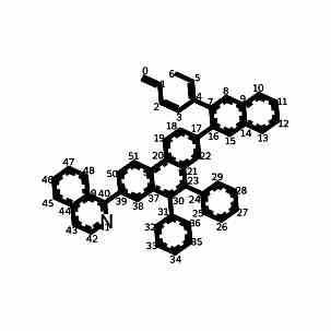 C=C/C=C\C(=C/C)c1cc2ccccc2cc1-c1ccc2c(c1)c(-c1ccccc1)c(-c1ccccc1)c1cc(-c3nccc4ccccc34)ccc12